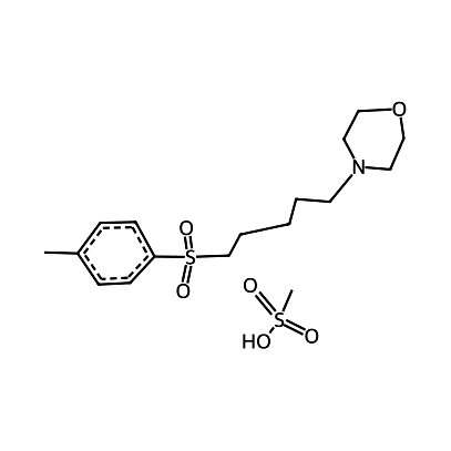 CS(=O)(=O)O.Cc1ccc(S(=O)(=O)CCCCCN2CCOCC2)cc1